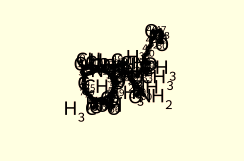 COc1cc2cc(c1Cl)N(C)C(=O)CC(OC(=O)[C@H](C)N(C)C(=O)[C@H](CCCNC(N)=O)NC(=O)[C@@H](NC(=O)CCCCCN1C(=O)C=CC1=O)C(C)C)C1(C)OC1C(C)C1CC(O)(NC(=O)O1)C(OC)/C=C/C=C(\C)C2